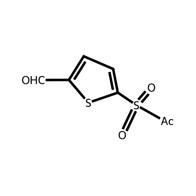 CC(=O)S(=O)(=O)c1ccc(C=O)s1